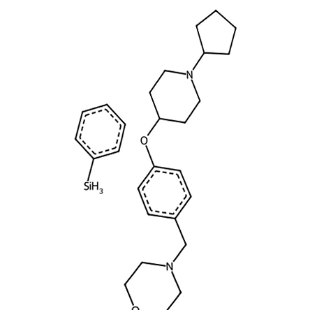 [SiH3]c1ccccc1.c1cc(OC2CCN(C3CCCC3)CC2)ccc1CN1CCOCC1